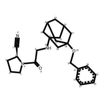 N#C[C@@H]1CCCN1C(=O)CNC12CC3CC(C1)CC(OCc1ccccc1)(C3)C2